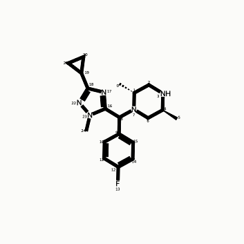 C[C@@H]1CN[C@@H](C)CN1C(c1ccc(F)cc1)c1nc(C2CC2)nn1C